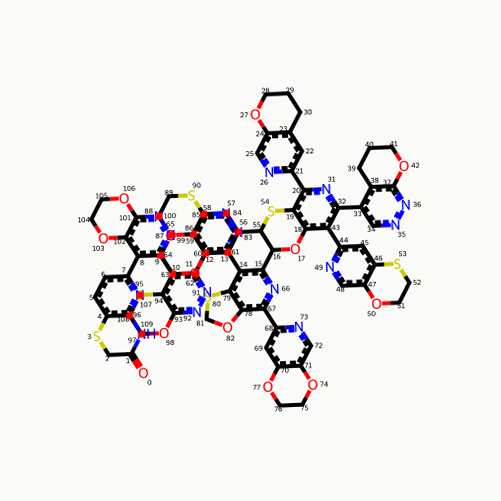 O=C1CSc2ccc(-c3c(-c4c(-c5c(-c6c(C7Oc8c(c(-c9cc%10c(cn9)OCCC%10)nc(-c9[c]nnc%10c9CCCO%10)c8-c8cc9c(cn8)OCCS9)SC7c7ccc8c(c7)OCCO8)nc(-c7cc8c(cn7)OCCO8)c7c6SCO7)nnc6c5OCCS6)nnc5c4SCCO5)nnc4c3OCCO4)nc2N1